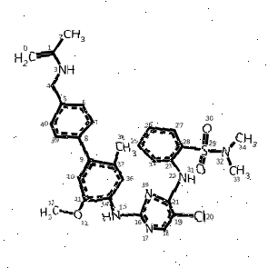 C=C(C)NCc1ccc(-c2cc(OC)c(Nc3ncc(Cl)c(Nc4ccccc4S(=O)(=O)N(C)C)n3)cc2C)cc1